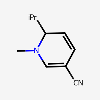 CC(C)C1C=CC(C#N)=CN1C